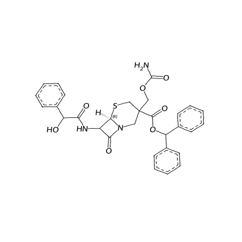 NC(=O)OCC1(C(=O)OC(c2ccccc2)c2ccccc2)CS[C@@H]2C(NC(=O)C(O)c3ccccc3)C(=O)N2C1